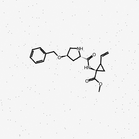 C=CC1C[C@]1(NC(=O)[C@@H]1C[C@@H](OCc2ccccc2)CN1)C(=O)OC